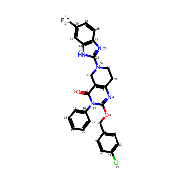 O=c1c2c(nc(OCc3ccc(Cl)cc3)n1-c1ccccc1)CCN(c1nc3ccc(C(F)(F)F)cc3[nH]1)C2